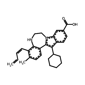 C=C/C=C\c1c(C)ccc2c1NCCn1c-2c(C2CCCCC2)c2ccc(C(=O)O)cc21